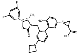 C[C@H]1[C@@H](c2cc(F)cc(F)c2)OC(=O)N1Cc1nc(N2CCC2)ccc1-c1cc([C@@H]2CC2C(=O)O)ccc1O